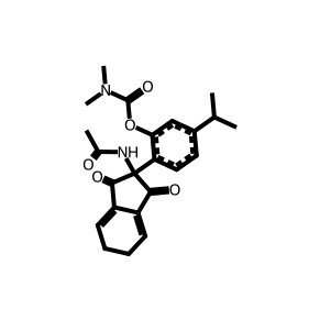 CC(=O)NC1(c2ccc(C(C)C)cc2OC(=O)N(C)C)C(=O)C2=CCCC=C2C1=O